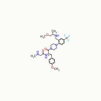 CNCC(=O)N[C@H](Cc1ccc(OC)cc1)C(=O)N1CCN(c2ccc(C(F)(F)F)cc2CNC(C)COC)CC1